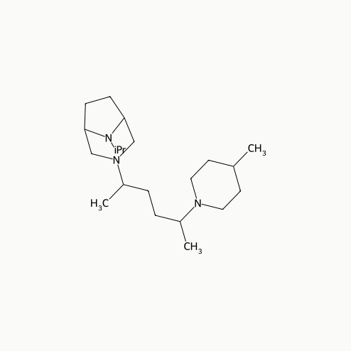 CC1CCN(C(C)CCC(C)N2CC3CCC(C2)N3C(C)C)CC1